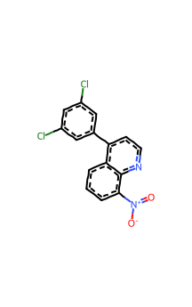 O=[N+]([O-])c1cccc2c(-c3cc(Cl)cc(Cl)c3)ccnc12